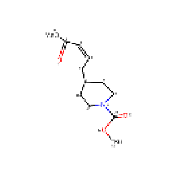 COC(=O)/C=C\CC1CCN(C(=O)OC(C)(C)C)CC1